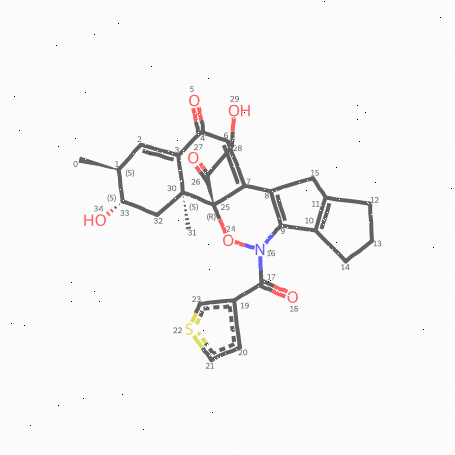 C[C@H]1C=C2C(=O)C=C3C4=C(C5=C(CCC5)C4)N(C(=O)c4ccsc4)O[C@]3(C(=O)CO)[C@@]2(C)C[C@@H]1O